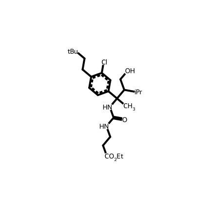 CCOC(=O)CCNC(=O)NC(C)(c1ccc(CCC(C)(C)C)c(Cl)c1)C(CO)C(C)C